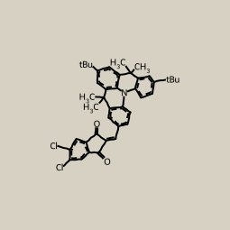 CC(C)(C)c1ccc2c(c1)C(C)(C)c1cc(C(C)(C)C)cc3c1N2c1ccc(C=C2C(=O)c4cc(Cl)c(Cl)cc4C2=O)cc1C3(C)C